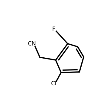 [C-]#[N+]Cc1c(F)cccc1Cl